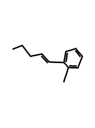 CCCC=Cc1ccccc1C